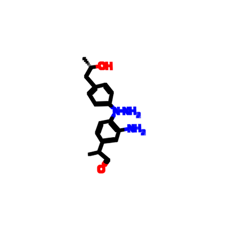 CC(C=O)c1ccc(N(N)c2ccc(C[C@H](C)O)cc2)c(N)c1